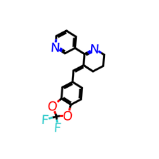 FC1(F)Oc2ccc(C=C3CCCN=C3c3cccnc3)cc2O1